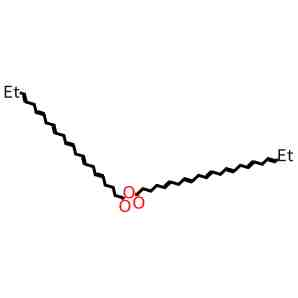 CCC=CCC=CCC=CCC=CCC=CCC=CCCCC(=O)OC(=O)CCCC=CCC=CCC=CCC=CCC=CCC=CCC